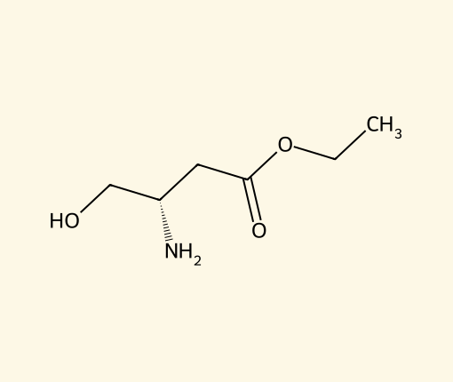 CCOC(=O)C[C@H](N)CO